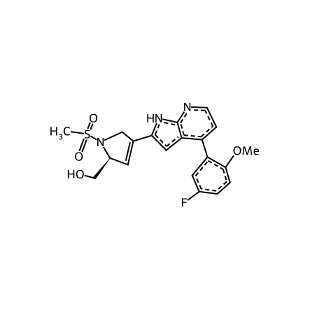 COc1ccc(F)cc1-c1ccnc2[nH]c(C3=C[C@@H](CO)N(S(C)(=O)=O)C3)cc12